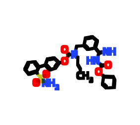 CCCCN(Cc1cccc(C(=N)NC(=O)Oc2ccccc2)c1)C(=O)Oc1ccc(-c2ccccc2S(N)(=O)=O)cc1